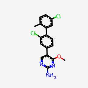 COc1nc(N)ncc1-c1c[c]c(-c2cc(Cl)ccc2C)c(Cl)c1